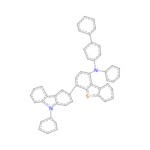 c1ccc(-c2ccc(N(c3ccccc3)c3ccc(-c4ccc5c(c4)c4ccccc4n5-c4ccccc4)c4sc5ccccc5c34)cc2)cc1